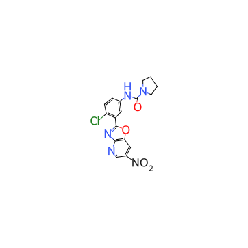 O=C(Nc1ccc(Cl)c(-c2nc3ncc([N+](=O)[O-])cc3o2)c1)N1CCCC1